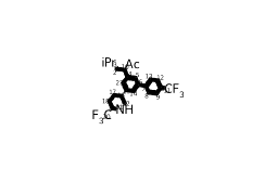 CC(=O)[C@@H](CC(C)C)c1cc(-c2ccc(C(F)(F)F)cc2)cc([C@H]2CC[C@@H](C(F)(F)F)NC2)c1